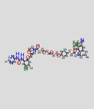 Cc1cnc(NC(=O)Nc2cc(Br)c(C)cc2OC[C@@H]2CN(C(=O)CCOCCOCCOc3ccc(CCC(=O)CN(CC4CC4)c4ccc(C#N)c(C(F)(F)F)c4)cc3)CCO2)cn1